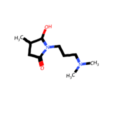 CC1CC(=O)N(CCCN(C)C)C1O